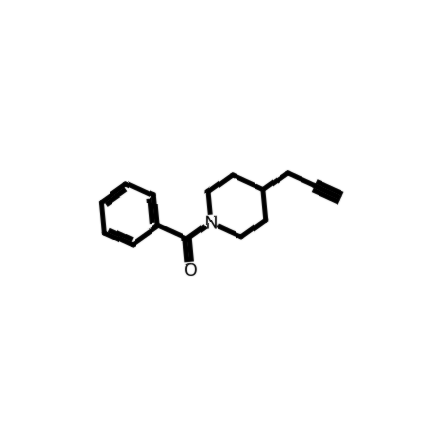 C#CCC1CCN(C(=O)c2ccccc2)CC1